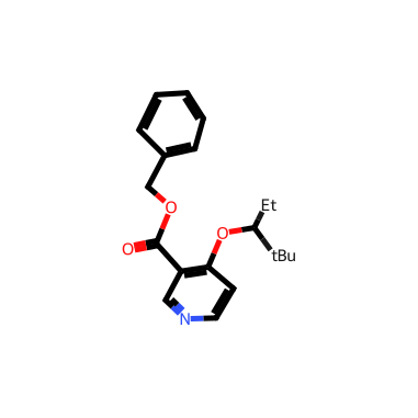 CCC(Oc1ccncc1C(=O)OCc1ccccc1)C(C)(C)C